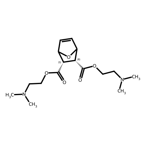 CN(C)CCOC(=O)[C@@H]1C2C=CC(O2)[C@@H]1C(=O)OCCN(C)C